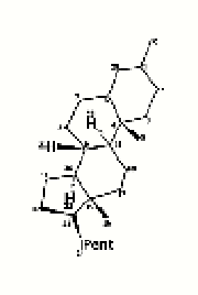 [CH2]C1CC[C@@]2(C)C(CC[C@H]3[C@@H]4CC[C@H]([C@H](C)CCC)[C@@]4(C)CC[C@@H]32)C1